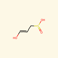 O=S(O)CC=CO